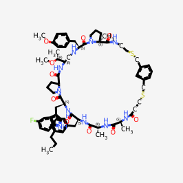 CCCc1cccc(C[C@@H]2NC(=O)[C@@H](C)NC(=O)[C@H](C)NC(=O)CCSCc3cccc(c3)CSCCNC(=O)[C@]3(C)CCCN3C(=O)[C@H](Cc3ccc(OC)cc3)NC[C@H]([C@@H](C)OC)NC(=O)C3CCCN3C(=O)[C@H](Cc3c[nH]c4ccc(F)cc34)NC2=O)c1